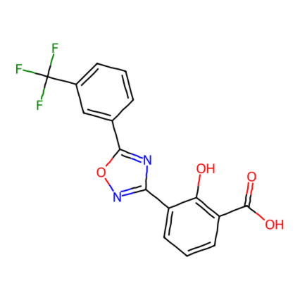 O=C(O)c1cccc(-c2noc(-c3cccc(C(F)(F)F)c3)n2)c1O